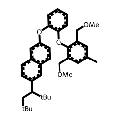 COCc1cc(C)cc(COC)c1Oc1ccccc1Oc1ccc2cc(C(CC(C)(C)C)C(C)(C)C)ccc2c1